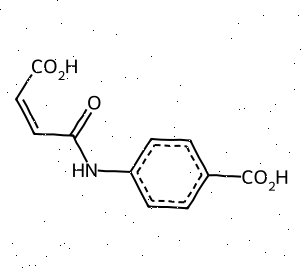 O=C(O)/C=C\C(=O)Nc1ccc(C(=O)O)cc1